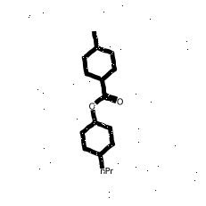 CCCC1CCC(OC(=O)C2CCC(C)CC2)CC1